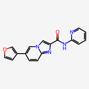 O=C(Nc1ccccn1)c1cn2cc(-c3ccoc3)ccc2n1